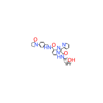 CC(C)C[C@@H](CO)NC(=O)c1c(-c2ccccn2)nc2c(C(=O)NCc3ccc(N4CCCC4=O)cc3)cccn12